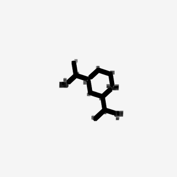 CC(O)C1CN(C(C)O)CCN1